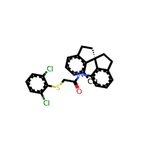 Cc1cccc2c1[C@@]1(CC2)CCc2cccc(NC(=O)CSc3c(Cl)cccc3Cl)c21